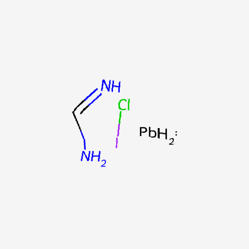 ClI.N=CN.[PbH2]